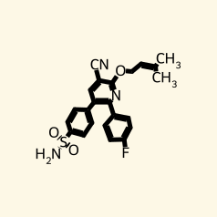 CC(C)=CCOc1nc(-c2ccc(F)cc2)c(-c2ccc(S(N)(=O)=O)cc2)cc1C#N